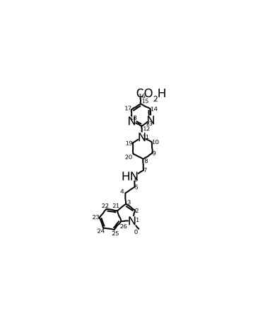 Cn1cc(CCNCC2CCN(c3ncc(C(=O)O)cn3)CC2)c2ccccc21